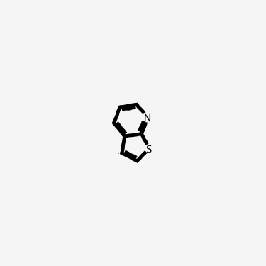 [c]1csc2ncccc12